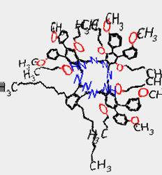 CCCCCCCCCCc1ccc(CCCCCCCCCC)c2c1-c1nc-2nc2[nH]c(nc3nc(nc4[nH]c(n1)c1c(OCCCC)c(-c5cccc(OC)c5)c(-c5cccc(OC)c5)c(OCCCC)c41)-c1c(OCCCC)c(-c4cccc(OC)c4)c(-c4cccc(OC)c4)c(OCCCC)c1-3)c1c(OCCCC)c(-c3cccc(OC)c3)c(-c3cccc(OC)c3)c(OCCCC)c21